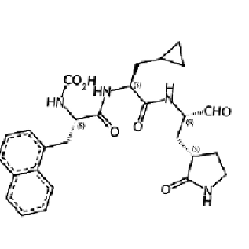 O=C[C@H](C[C@@H]1CCNC1=O)NC(=O)[C@H](CC1CC1)NC(=O)[C@H](Cc1cccc2ccccc12)NC(=O)O